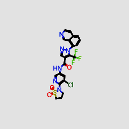 O=C(Nc1cnc(N2CCCS2(=O)=O)c(Cl)c1)c1cnn(-c2cccc3ccncc23)c1C(F)(F)F